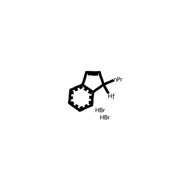 Br.Br.CCC[C]1([Hf])C=Cc2ccccc21